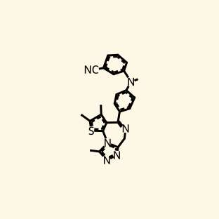 Cc1sc2c(c1C)C(c1ccc(N(C)c3cccc(C#N)c3)cc1)=NCc1nnc(C)n1-2